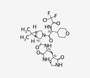 CC1(C)[C@@H]2[C@@H](C(=O)N[C@@H](C[C@@H]3CCNC3=O)C(N)=O)N(C(=O)[C@@H](NC(=O)C(F)(F)Cl)C3CCOCC3)C[C@@H]21